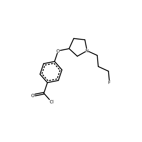 O=C(Cl)c1ccc(OC2CCN(CCCF)C2)cc1